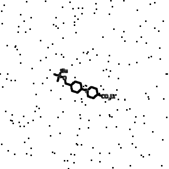 CCOC(=O)C1CCN(C2CCC(CO[Si](C)(C)C(C)(C)C)CC2)CC1